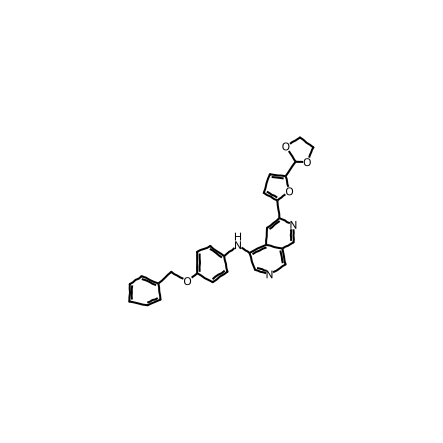 c1ccc(COc2ccc(Nc3cncc4cnc(-c5ccc(C6OCCO6)o5)cc34)cc2)cc1